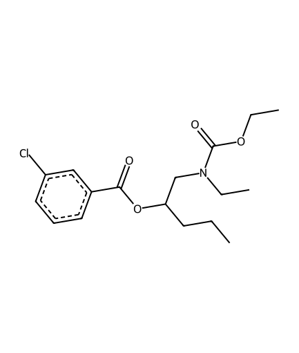 CCCC(CN(CC)C(=O)OCC)OC(=O)c1cccc(Cl)c1